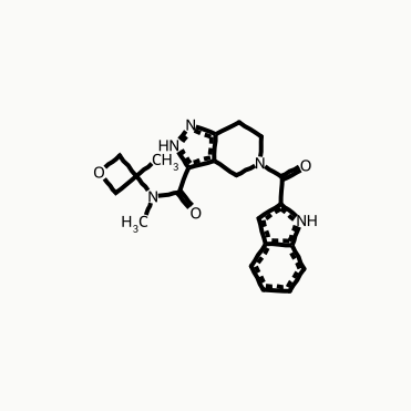 CN(C(=O)c1[nH]nc2c1CN(C(=O)c1cc3ccccc3[nH]1)CC2)C1(C)COC1